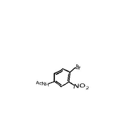 CC(=O)Nc1ccc(Br)c([N+](=O)[O-])c1